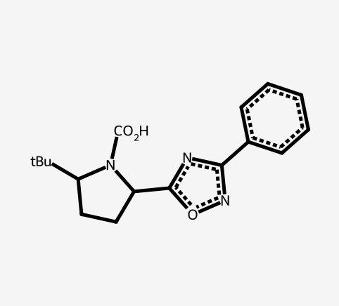 CC(C)(C)C1CCC(c2nc(-c3ccccc3)no2)N1C(=O)O